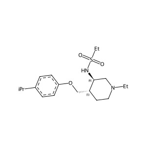 CCN1CC[C@H](COc2ccc(C(C)C)cc2)[C@@H](NS(=O)(=O)CC)C1